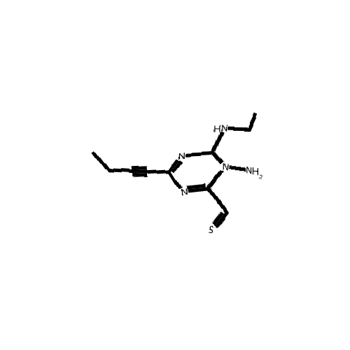 CCC#CC1=NC(NCC)N(N)C(C=S)=N1